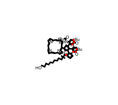 CC(C)(C)C(=O)Nc1ccccc1-c1cc(C2=C3C=CC(=N3)C=C3C=CC(=N3)C=C3C=CC(=N3)C=C3C=CC2=N3)c(NC(=O)C(C)(C)CCCCCCCCCCO)c(-c2ccccc2NC(=O)C(C)(C)C)c1-c1ccccc1NC(=O)C(C)(C)C